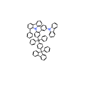 c1ccc(-c2cccc3c4ccccc4n(-c4ccc([Si](c5ccccc5)(c5ccccc5)c5ccc(C6(c7ccccc7)c7ccccc7-c7ccccc76)cc5)cc4-c4cccc(-n5c6ccccc6c6ccccc65)c4)c23)cc1